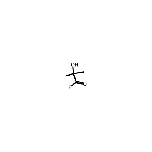 CC(C)(O)C(=O)F